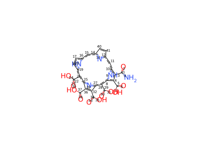 NC(=O)c1c(C(=O)O)c2[nH]c1cc1nc(cc3ccc([nH]3)c(C(=O)O)c3nc(c2C(=O)O)C(C(=O)O)=C3C(=O)O)C=C1